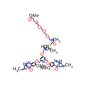 C/C=C1\C[C@H]2C=Nc3cc(OCc4cc(OCCN(C)CC(C)(C)SCC(=O)N(C)CCOCCOCCOCCOCCC(=O)OC)cc(COc5cc6c(cc5OC)C(=O)N5C/C(=C/C)C[C@H]5C=N6)n4)c(OC)cc3C(=O)N2C1